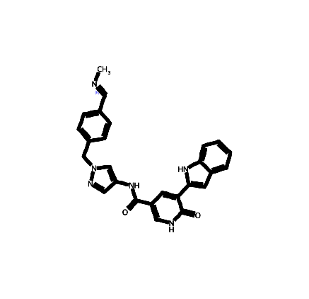 C/N=C/c1ccc(Cn2cc(NC(=O)c3c[nH]c(=O)c(-c4cc5ccccc5[nH]4)c3)cn2)cc1